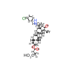 CC(=O)O[C@H](CNCc1cccc(Cl)c1)[C@@]12CC[C@]3(C)[C@H](CC[C@@H]4[C@@]5(C)CC[C@H](OC(=O)CC(C)(C)C(=O)O)[C@H](C)[C@@H]5CC[C@]43C)C1=C(C(C)C)C(=O)C2